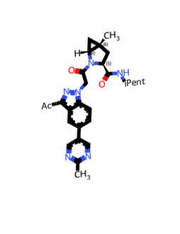 CCCC(C)NC(=O)[C@@H]1C[C@@]2(C)C[C@H]2N1C(=O)Cn1nc(C(C)=O)c2cc(-c3cnc(C)nc3)ccc21